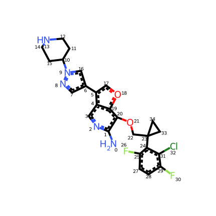 Nc1ncc2c(-c3cnn(C4CCNCC4)c3)coc2c1OCC1(c2c(F)ccc(F)c2Cl)CC1